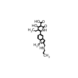 C=CCNCc1cc2cc(-c3[nH]c(=O)c(C(=O)O)c(O)c3CC)ccc2n1C